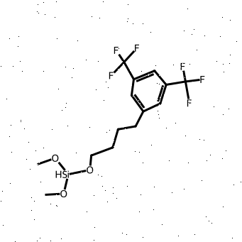 CO[SiH](OC)OCCCCc1cc(C(F)(F)F)cc(C(F)(F)F)c1